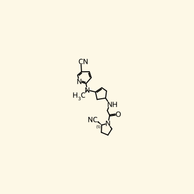 CN(C1=CCC(NCC(=O)N2CCC[C@H]2C#N)C1)c1ccc(C#N)cn1